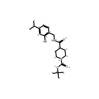 CC(C)c1ccc(CNC(=O)C2CCN(C(=O)OC(C)(C)C)CC2)c(Br)c1